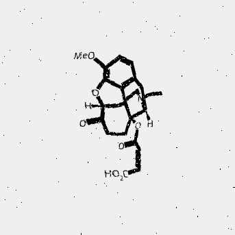 COc1ccc2c3c1O[C@H]1C(=O)CC[C@@]4(OC(=O)/C=C\C(=O)O)[C@@H](C2)N(C)CC[C@]314